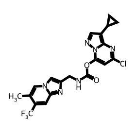 Cc1cn2cc(CNC(=O)Oc3cc(Cl)nc4c(C5CC5)cnn34)nc2cc1C(F)(F)F